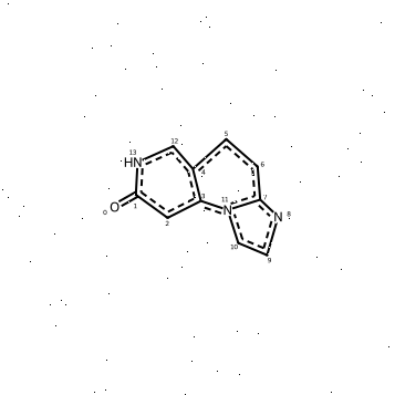 O=c1cc2c(ccc3nccn32)c[nH]1